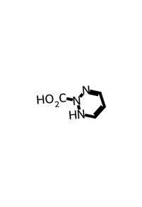 O=C(O)N1N=CC=CN1